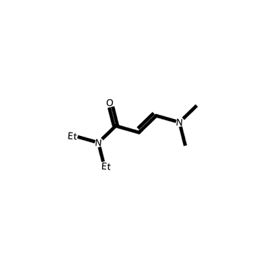 CCN(CC)C(=O)C=CN(C)C